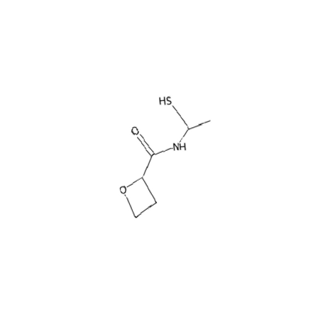 CC(S)NC(=O)C1CCO1